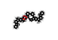 CC1(C)c2cc(N3c4ccc5c(c4)C(C)(c4cccc(c4)-c4cccc(-c6ccccc6)c43)c3cc4c(cc3-5)C(C)(C)c3ccc5c(oc6ccccc65)c3-4)ccc2-c2cc3c(cc21)-c1c(ccc2c1oc1ccccc12)C3(C)C